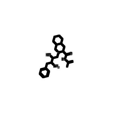 C=C(C)NC(=O)C1CC2CCCCC2CN1CC(O)C(N)Cc1ccccc1